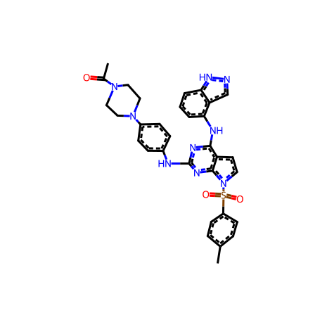 CC(=O)N1CCN(c2ccc(Nc3nc(Nc4cccc5[nH]ncc45)c4ccn(S(=O)(=O)c5ccc(C)cc5)c4n3)cc2)CC1